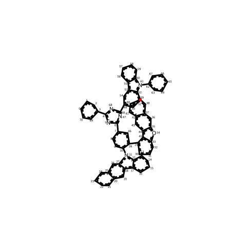 c1ccc(-c2nc(-c3ccc(-n4c5ccccc5c5cc6ccccc6cc54)c(-c4cccc5oc6cc7ccccc7cc6c45)c3)nc(-c3ccc4c(c3)c3ccccc3n4-c3ccccc3)n2)cc1